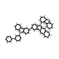 c1ccc(-c2cccc(-n3c4ccccc4c4cc(-c5ccc6c(c5)c5cc7ccccc7cc5n6-c5cccc6sc7ccccc7c56)ccc43)c2)cc1